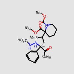 COC(=O)[C@](CC(SC)C1(C(=O)OC(C)(C)C)CCCCN1C(=O)OC(C)(C)C)(NNC(=O)O)c1ccccc1